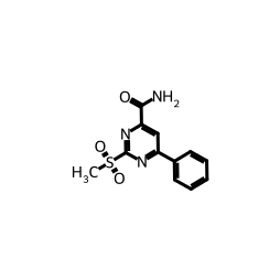 CS(=O)(=O)c1nc(C(N)=O)cc(-c2ccccc2)n1